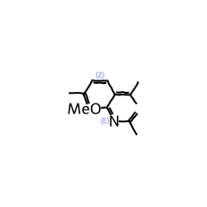 C=C(C)/C=C\C(=C(C)C)/C(=N\C(=C)C)OC